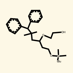 CC(C)(CC(CCO[Si](C)(C)C(C)(C)C)OCCO)C(c1ccccc1)c1ccccc1